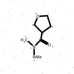 CNN(C)C(=O)C1CCOC1